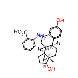 C[C@]12CC[C@@H]3c4ccc(O)cc4CC[C@H]3[C@@H]1CC[C@@H]2O.Nc1ccccc1C(=O)O